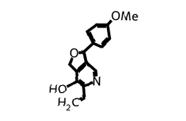 C=Cc1ncc2c(c1O)COC2c1ccc(OC)cc1